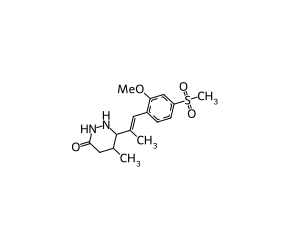 COc1cc(S(C)(=O)=O)ccc1/C=C(\C)C1NNC(=O)CC1C